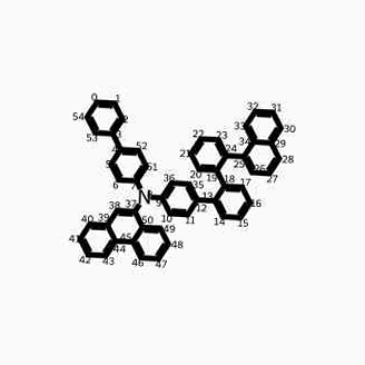 c1ccc(-c2ccc(N(c3ccc(-c4ccccc4-c4ccccc4-c4cccc5ccccc45)cc3)c3cc4ccccc4c4ccccc34)cc2)cc1